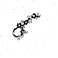 Nc1ncc2c3c1c(-c1ccc(C(=O)Nc4cc(C(F)(F)F)ccn4)cc1)nn3[C@@H]1CN[C@H](C1)C(=O)NCCCCC/C=C/2